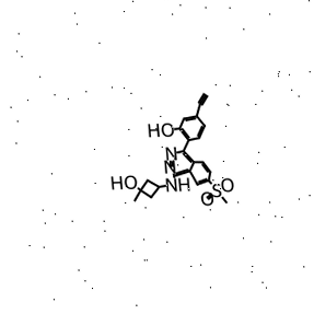 C#Cc1ccc(-c2nnc(NC3CC(C)(O)C3)c3cc(S(C)(=O)=O)ccc23)c(O)c1